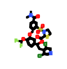 COc1cc(C(Cc2c(Cl)cncc2Cl)OC(=O)C2SCCN2S(=O)(=O)c2cccc(C(=O)N(C)C)c2)ccc1OC(F)F